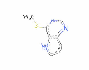 CSc1ncnc2cc[nH]c12